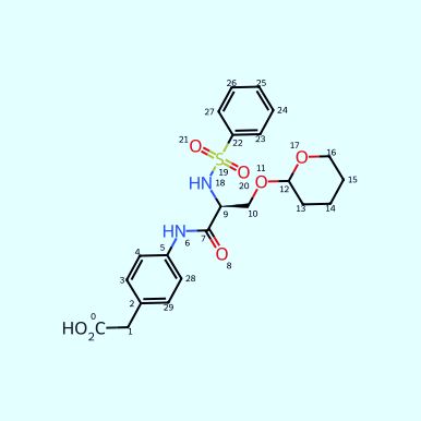 O=C(O)Cc1ccc(NC(=O)[C@H](COC2CCCCO2)NS(=O)(=O)c2ccccc2)cc1